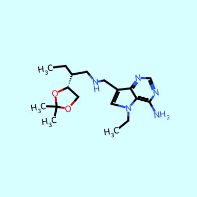 CCC(CNCc1cn(CC)c2c(N)ncnc12)[C@@H]1COC(C)(C)O1